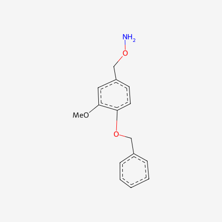 COc1cc(CON)ccc1OCc1ccccc1